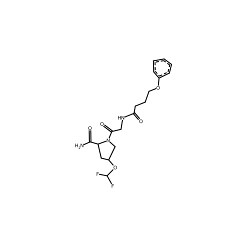 NC(=O)C1CC(OC(F)F)CN1C(=O)CNC(=O)CCCOc1ccccc1